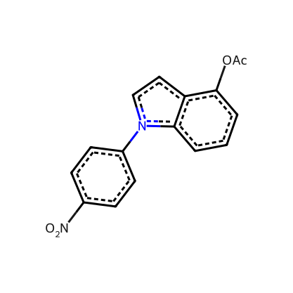 CC(=O)Oc1cccc2c1ccn2-c1ccc([N+](=O)[O-])cc1